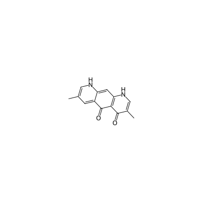 Cc1c[nH]c2cc3[nH]cc(C)c(=O)c3c(=O)c-2c1